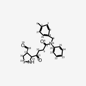 Cc1ccc(CN(C(=O)CCC(=O)C2NSC[C@H]2C=O)c2ccccc2)cc1